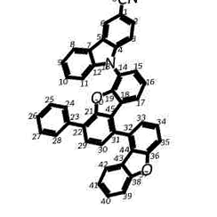 N#Cc1ccc2c(c1)c1ccccc1n2-c1cccc2c1oc1c(-c3ccccc3)ccc(-c3cccc4oc5ccccc5c34)c12